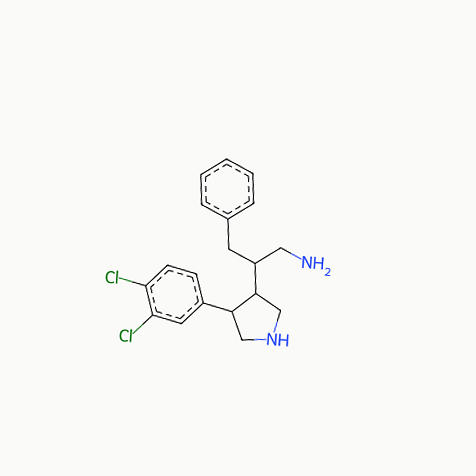 NCC(Cc1ccccc1)C1CNCC1c1ccc(Cl)c(Cl)c1